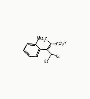 CCC(CC)C(=C(C(=O)O)C(=O)O)c1ccccc1C